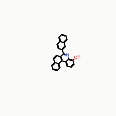 Oc1cccc2c1nc(-c1ccc3ccccc3c1)c1ccc3ccccc3c12